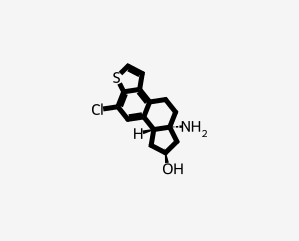 N[C@@]12CCc3c(cc(Cl)c4sccc34)[C@H]1C[C@H](O)C2